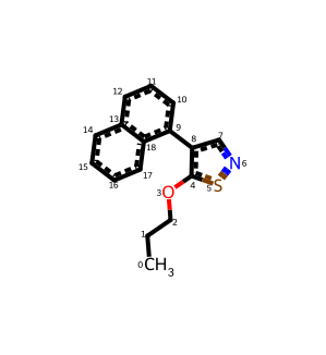 CCCOc1sn[c]c1-c1cccc2ccccc12